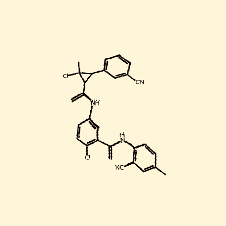 C=C(Nc1ccc(C)cc1C#N)c1cc(NC(=C)C2C(c3cccc(C#N)c3)C2(C)Cl)ccc1Cl